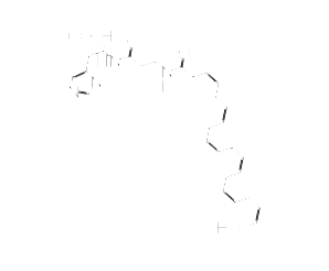 C/C=C\C/C=C\C/C=C\C/C=C\C/C=C\C/C=C\CC(=O)NCCC(=O)N[C@@H](Cc1cnc[nH]1)C(=O)O